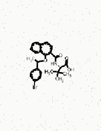 CC(Oc1c(C(=O)N[C@H](C(=O)O)C(C)(C)C)ccc2ccccc12)c1ccc(Br)cc1